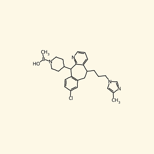 CB(O)N1CCC(C2c3ccc(Cl)cc3CC(CCCn3cnc(C)c3)c3cccnc32)CC1